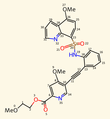 COCCOC(=O)c1cc(OC)c(C#Cc2ccccc2NS(=O)(=O)c2ccc(OC)c3cccnc23)cn1